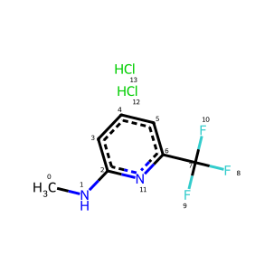 CNc1cccc(C(F)(F)F)n1.Cl.Cl